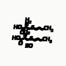 CCC=CSC[C@H](N)C(=O)O.CCC=CSC[C@H](N)C(=O)O.O=S